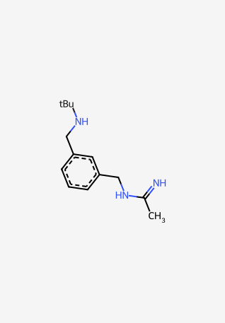 CC(=N)NCc1cccc(CNC(C)(C)C)c1